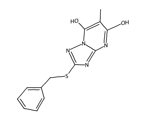 Cc1c(O)nc2nc(SCc3ccccc3)nn2c1O